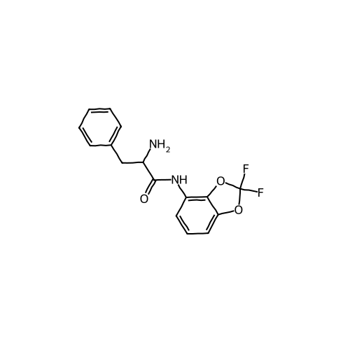 NC(Cc1ccccc1)C(=O)Nc1cccc2c1OC(F)(F)O2